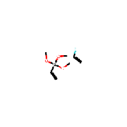 C=CF.C=C[Si](OC)(OC)OC